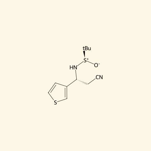 CC(C)(C)[S@@+]([O-])N[C@H](CC#N)c1ccsc1